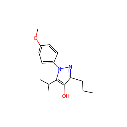 CCCc1nn(-c2ccc(OC)cc2)c(C(C)C)c1O